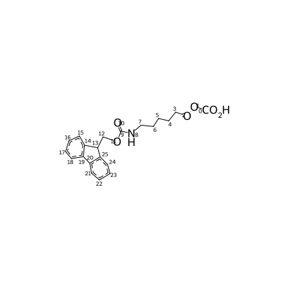 O=C(O)OOCCCCCNC(=O)OCC1c2ccccc2-c2ccccc21